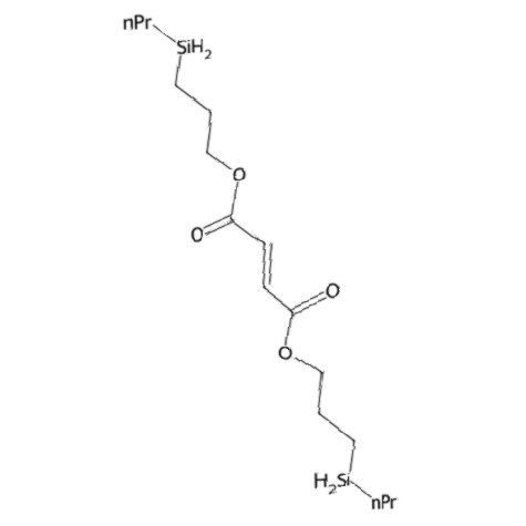 CCC[SiH2]CCCOC(=O)/C=C/C(=O)OCCC[SiH2]CCC